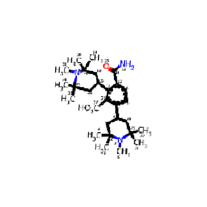 CN1C(C)(C)CC(c2ccc(C(N)=O)c(C3CC(C)(C)N(C)C(C)(C)C3)c2C(=O)O)CC1(C)C